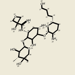 C[C@@H]1C(O)[C@@H](OC2C(O)C(O[C@H]3O[C@H](CCCCO)CCC3N)[C@@H](N)C[C@H]2NC(=N)C2(O)COC2)OCC1(C)O